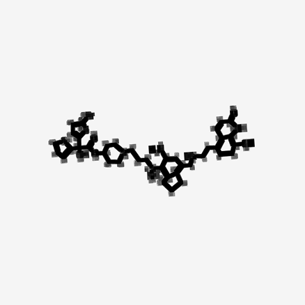 Nc1cc(CNCCc2ccc(O)c3[nH]c(=O)ccc23)c2c(c1N(N)CCCN1CCC(OC(=O)C(O)(c3cccs3)c3ccc(Br)s3)CC1)CCC2